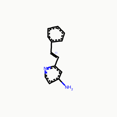 Nc1ccnc(/C=C/c2ccccc2)c1